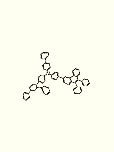 c1ccc(-c2ccc(N(c3ccc(-c4ccc5c(-c6ccccc6)c(-c6ccccc6)c6ccccc6c5c4)cc3)c3ccc(-c4ccc(-c5ccccc5)cc4-c4ccccc4)cc3)cc2)cc1